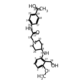 COc1cccc(NC2CCN(CC(=O)Nc3ccc(C(C)O)cc3)CC2)c1CO